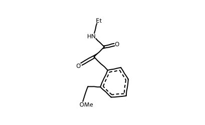 CCNC(=O)C(=O)c1ccccc1COC